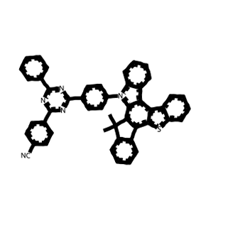 CC1(C)c2ccccc2-c2c1c1c(c3ccccc3n1-c1ccc(-c3nc(-c4ccccc4)nc(-c4ccc(C#N)cc4)n3)cc1)c1c2sc2ccccc21